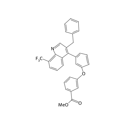 COC(=O)c1cccc(Oc2cccc(-c3c(Cc4ccccc4)cnc4c(C(F)(F)F)cccc34)c2)c1